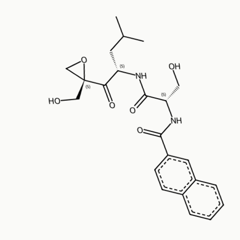 CC(C)C[C@H](NC(=O)[C@H](CO)NC(=O)c1ccc2ccccc2c1)C(=O)[C@]1(CO)CO1